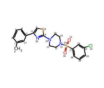 Cc1cccc(-c2csc(N3CCN(S(=O)(=O)c4cccc(Cl)c4)CC3)n2)c1